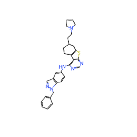 c1ccc(Cn2ncc3cc(Nc4ncnc5sc6c(c45)CCC(CCN4CCCC4)C6)ccc32)cc1